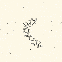 CCS(=O)(=O)c1ccc(CC(=O)Nc2ccc(C(=O)C(C)(C)c3ccc(F)nc3)nc2)cc1